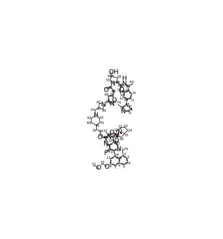 CCc1cccc2cc(OCOC)cc(-c3ncc4c(N5CC6CCC(C5)N6C(=O)OC(C)(C)C)nc(OCCC5CCN(CC6CN(c7cc([C@H](C(=O)N8C[C@H](O)C[C@H]8C(=O)N[C@@H](C)c8ccc(-c9scnc9C)cc8)C(C)C)on7)C6)CC5)nc4c3F)c12